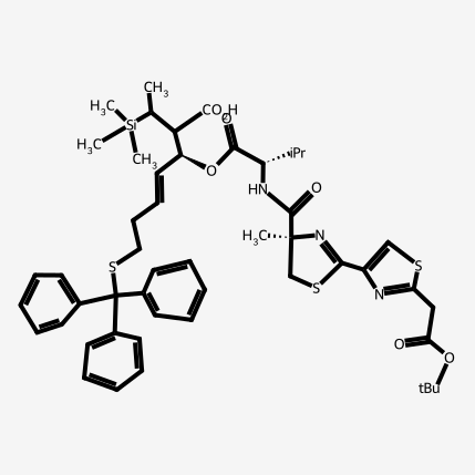 CC(C)[C@H](NC(=O)[C@]1(C)CSC(c2csc(CC(=O)OC(C)(C)C)n2)=N1)C(=O)O[C@@H](/C=C/CCSC(c1ccccc1)(c1ccccc1)c1ccccc1)C(C(=O)O)C(C)[Si](C)(C)C